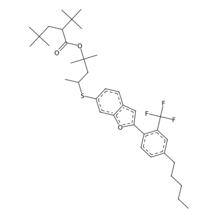 CCCCCc1ccc(-c2cc3ccc(SC(C)CC(C)(C)OC(=O)C(CC(C)(C)C)C(C)(C)C)cc3o2)c(C(F)(F)F)c1